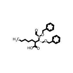 CCCCCC(C(=O)O)[C@@H](COCc1ccccc1)N(C=O)OCc1ccccc1